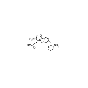 NC(=O)[C@H](CCC(=O)O)N1Cc2cc(C[C@H]3OCCC[C@@H]3N)ccc2C1=O